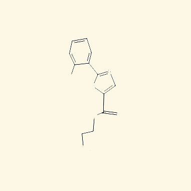 CCCOC(=O)c1cnc(-c2ccccc2F)s1